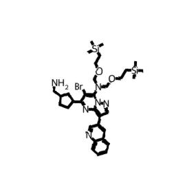 C[Si](C)(C)CCOCN(COCC[Si](C)(C)C)c1c(Br)c(C2CCC(CN)C2)nc2c(-c3cnc4ccccc4c3)cnn12